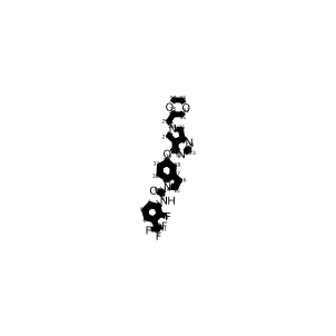 O=C(Nc1cccc(C(F)(F)F)c1F)n1ccc2cc(Oc3ncnc4c3CN(CC3COCCO3)C4)ccc21